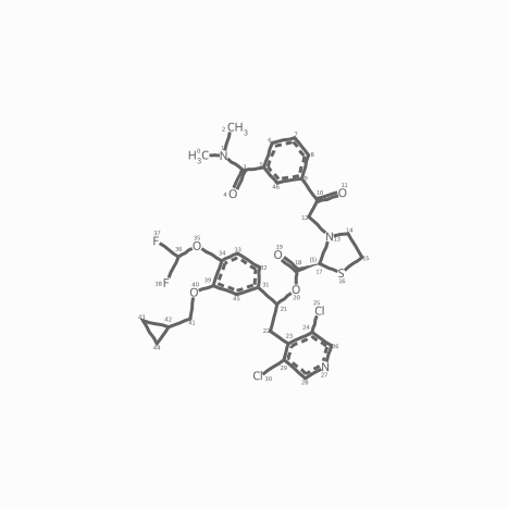 CN(C)C(=O)c1cccc(C(=O)CN2CCS[C@H]2C(=O)OC(Cc2c(Cl)cncc2Cl)c2ccc(OC(F)F)c(OCC3CC3)c2)c1